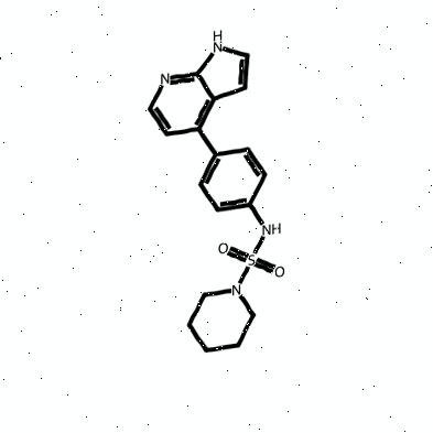 O=S(=O)(Nc1ccc(-c2ccnc3[nH]ccc23)cc1)N1CCCCC1